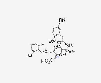 CCOc1ccc(O)cc1CC(=O)N[C@H](C(=O)N/C(=C/C(=O)O)C(=O)CSCc1c(F)cccc1Cl)C(C)C